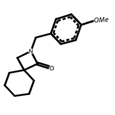 COc1ccc(CN2CC3(CCCCC3)C2=O)cc1